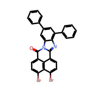 O=c1c2ccc(Br)c3c(Br)ccc(c32)c2nc3c(-c4ccccc4)cc(-c4ccccc4)cc3n12